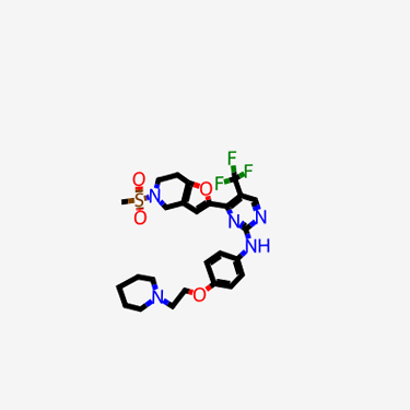 CS(=O)(=O)N1CCc2oc(-c3nc(Nc4ccc(OCCN5CCCCC5)cc4)ncc3C(F)(F)F)cc2C1